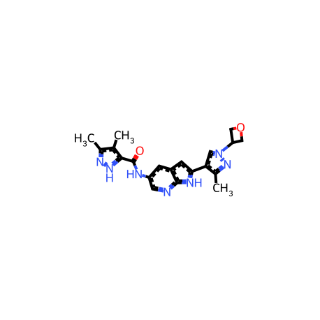 Cc1nn(C2COC2)cc1-c1cc2cc(NC(=O)c3[nH]nc(C)c3C)cnc2[nH]1